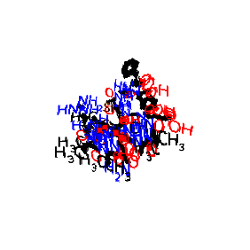 CC[C@H](C)[C@H](NC(=O)[C@H](CCCNC(=N)N)N1C(=O)C(N)CC1C)C(=O)NC(C(=O)NC(CCC(N)=O)C(=O)N[C@@H](CS)C(=O)N(C)C(CCCNC(=N)N)C(=O)NC(CO)C(=O)N[C@H](C(=O)NC(CCC(=O)O)C(=O)NCC(=O)N[C@@H](CO)C(=O)N[C@@H](CS)C(=O)NCC(=O)N[C@@H](Cc1ccccc1)C(=O)NC(Cc1ccc(O)cc1)C(=O)O)C(C)C)C(C)C